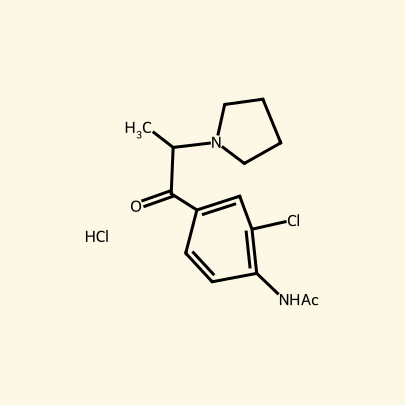 CC(=O)Nc1ccc(C(=O)C(C)N2CCCC2)cc1Cl.Cl